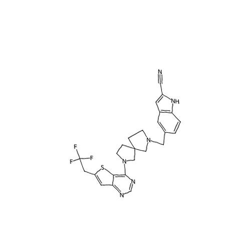 N#Cc1cc2cc(CN3CCC4(CCN(c5ncnc6cc(CC(F)(F)F)sc56)C4)C3)ccc2[nH]1